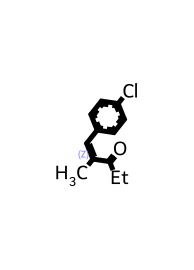 CCC(=O)/C(C)=C\c1ccc(Cl)cc1